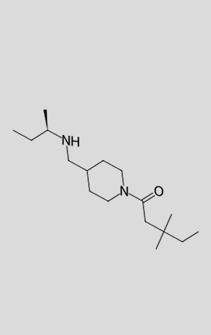 CC[C@@H](C)NCC1CCN(C(=O)CC(C)(C)CC)CC1